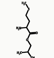 CSCCC(N)C(=O)OCC(C)C